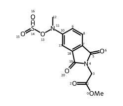 COC(=O)CN1C(=O)c2ccc(N(C)O[SH](=O)=O)cc2C1=O